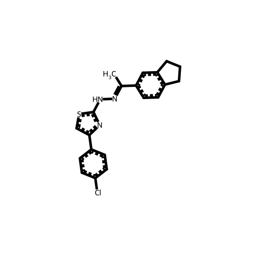 CC(=NNc1nc(-c2ccc(Cl)cc2)cs1)c1ccc2c(c1)CCC2